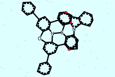 c1ccc(-c2cc3c(c(-c4ccccc4)c2)N(B2c4ccccc4-n4c5ccccc5c5cccc2c54)c2c(cc(-c4ccccc4)cc2-c2ccccc2)O3)cc1